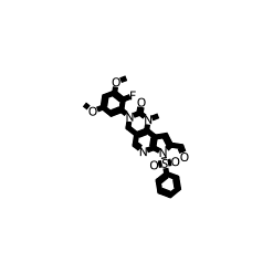 COc1cc(OC)c(F)c(N2Cc3cnc4c(cc(C=O)n4S(=O)(=O)c4ccccc4)c3N(C)C2=O)c1